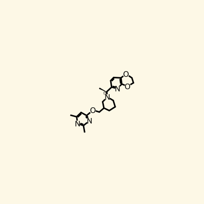 Cc1cc(OCC2CCCN([C@@H](C)c3ccc4c(n3)OCCO4)C2)nc(C)n1